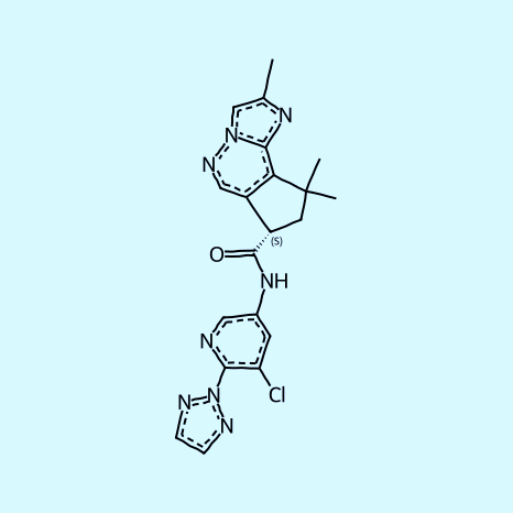 Cc1cn2ncc3c(c2n1)C(C)(C)C[C@@H]3C(=O)Nc1cnc(-n2nccn2)c(Cl)c1